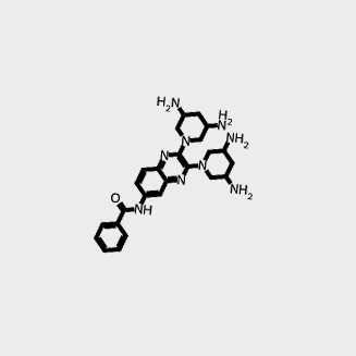 NC1CC(N)CN(c2nc3ccc(NC(=O)c4ccccc4)cc3nc2N2CC(N)CC(N)C2)C1